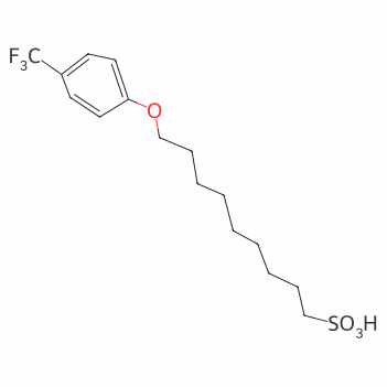 O=S(=O)(O)CCCCCCCCCOc1ccc(C(F)(F)F)cc1